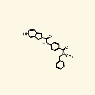 CN(Cc1ccccc1)C(=O)c1ccc(NC(=O)N2C=C3C=CNC=C3C2)cc1